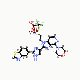 COCCn1c(-c2c[nH]c(-c3ccc4scnc4c3)n2)nc2c(N3CCOCC3)nccc21.O=C(O)C(F)(F)F